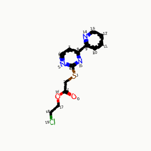 O=C(CSc1nccc(-c2ccccn2)n1)OCCCl